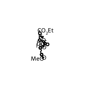 CCOC(=O)C1CCC(N(Cc2cccc(C(=O)Nc3sc4c(c3C(=O)Nc3cccc(CCc5ccc(C(=O)OC)cc5)c3)CCCC4)c2)C2CC2)CC1